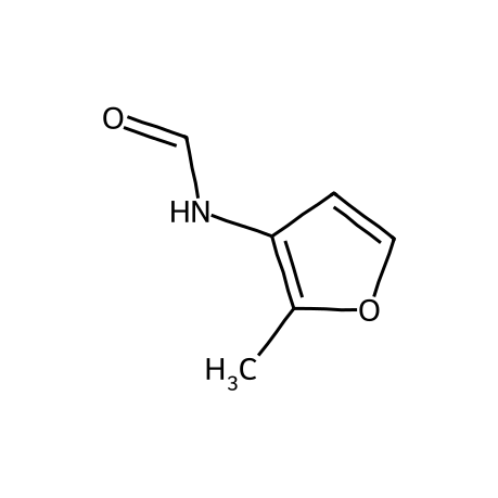 Cc1occc1NC=O